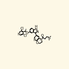 C[C@@H](Oc1ccc2[nH]nc(-c3cnc4c(c3)N(C(=O)CCN(C)C)CCO4)c2c1)c1c(Cl)cncc1Cl